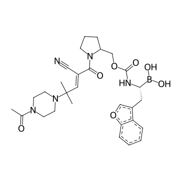 CC(=O)N1CCN(C(C)(C)C=C(C#N)C(=O)N2CCCC2COC(=O)N[C@@H](Cc2coc3ccccc23)B(O)O)CC1